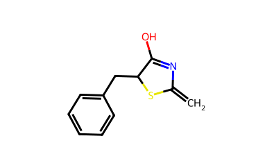 C=C1N=C(O)C(Cc2ccccc2)S1